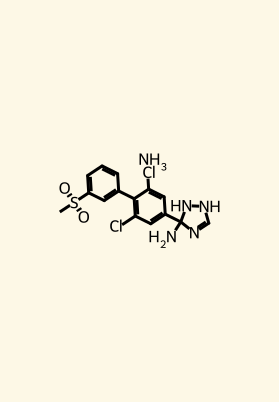 CS(=O)(=O)c1cccc(-c2c(Cl)cc(C3(N)N=CNN3)cc2Cl)c1.N